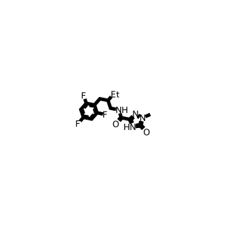 CCC(CNC(=O)c1nn(C)c(=O)[nH]1)Cc1c(F)cc(F)cc1F